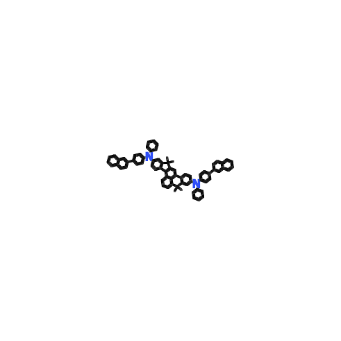 CC1(C)c2cc(N(c3ccccc3)c3ccc(-c4ccc5ccccc5c4)cc3)ccc2-c2c1cc1c3c(cccc23)C(C)(C)c2cc(N(c3ccccc3)c3ccc(-c4ccc5ccccc5c4)cc3)ccc2-1